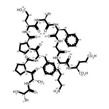 CC(C)[C@H](N)C(=O)N[C@@H](C)C(=O)N1CCC[C@H]1C(=O)N[C@@H](Cc1ccccc1)C(=O)N1CCC[C@H]1C(=O)N[C@@H](CCC(=O)O)C(=O)N[C@H](C(=O)N[C@@H](Cc1ccccc1)C(=O)NCC(=O)N[C@@H](CCCCN)C(=O)N[C@@H](CCC(=O)O)C(=O)O)C(C)C